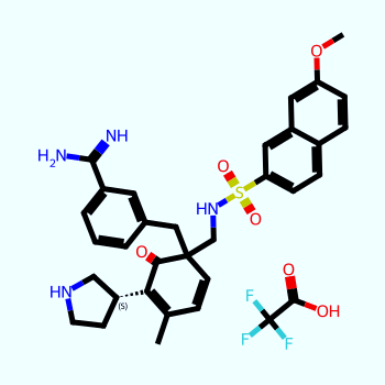 COc1ccc2ccc(S(=O)(=O)NCC3(Cc4cccc(C(=N)N)c4)C=CC(C)=C([C@@H]4CCNC4)C3=O)cc2c1.O=C(O)C(F)(F)F